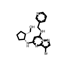 OC[C@H]1CCC[C@H]1Nc1cc(NCc2cccnc2)n2ncc(Br)c2n1